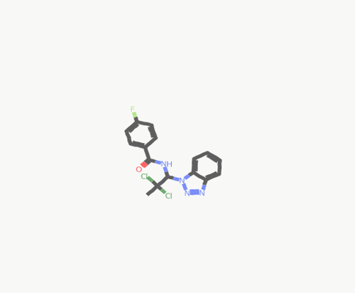 CC(Cl)(Cl)C(NC(=O)c1ccc(F)cc1)n1nnc2ccccc21